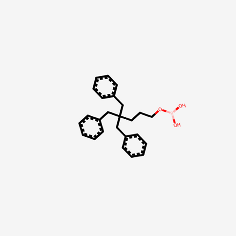 OB(O)OCCCC(Cc1ccccc1)(Cc1ccccc1)Cc1ccccc1